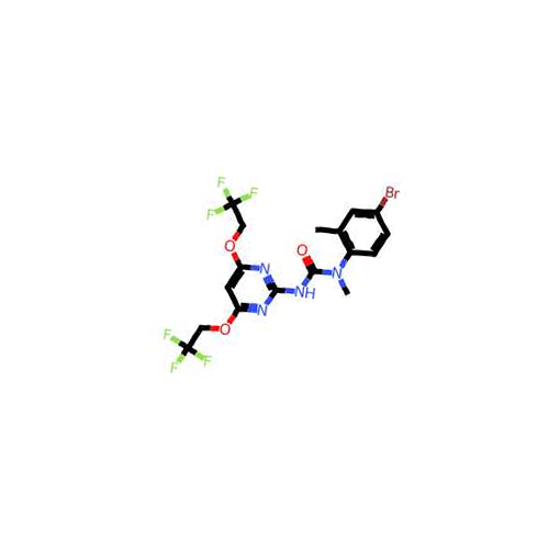 Cc1cc(Br)ccc1N(C)C(=O)Nc1nc(OCC(F)(F)F)cc(OCC(F)(F)F)n1